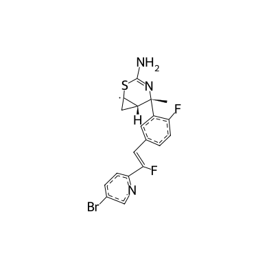 C[C@]1(c2cc(/C=C(\F)c3ccc(Br)cn3)ccc2F)N=C(N)S[C]2C[C@H]21